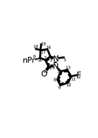 CCC[C@@H]1c2c(n(C)n(-c3cccc(F)c3)c2=O)CC1(C)C